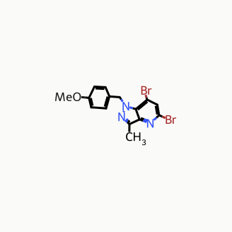 COc1ccc(Cn2nc(C)c3nc(Br)cc(Br)c32)cc1